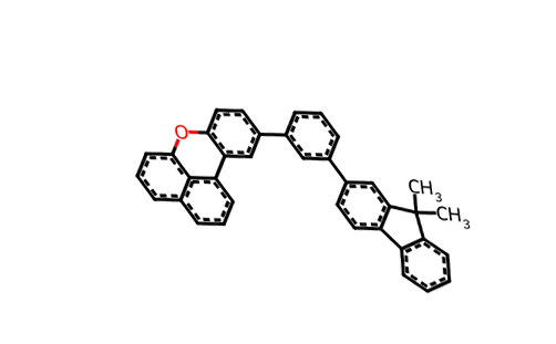 CC1(C)c2ccccc2-c2ccc(-c3cccc(-c4ccc5c(c4)-c4cccc6cccc(c46)O5)c3)cc21